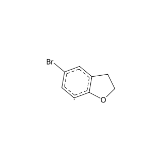 Brc1c[c]c2c(c1)CCO2